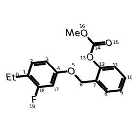 CCc1ccc(OCc2ccccc2OC(=O)OC)cc1F